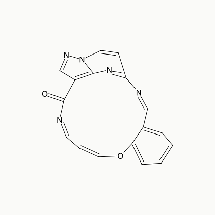 O=c1ncccoc2ccccc2cnc2ccn3ncc1c3n2